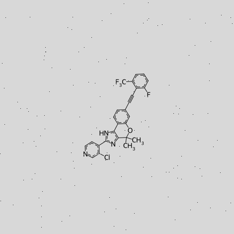 CC1(C)Oc2cc(C#Cc3c(F)cccc3C(F)(F)F)ccc2-c2[nH]c(-c3ccncc3Cl)nc21